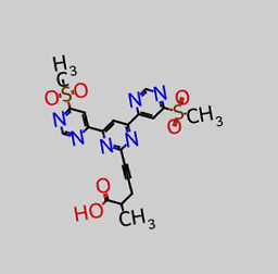 CC(CC#Cc1nc(-c2cc(S(C)(=O)=O)ncn2)cc(-c2cc(S(C)(=O)=O)ncn2)n1)C(=O)O